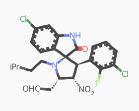 CC(C)CCN1[C@@H](CC=O)[C@@H]([N+](=O)[O-])[C@H](c2cccc(Cl)c2F)[C@]12C(=O)Nc1cc(Cl)ccc12